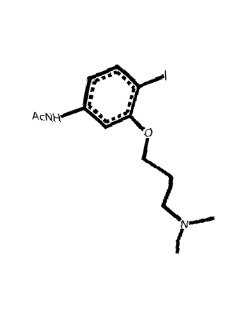 CC(=O)Nc1ccc(I)c(OCCCN(C)C)c1